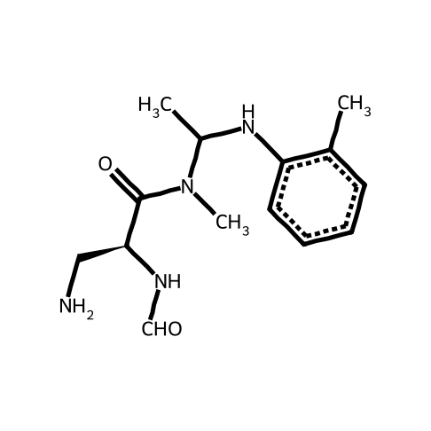 Cc1ccccc1NC(C)N(C)C(=O)[C@H](CN)NC=O